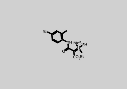 CCOC(=O)[C](C(=O)Nc1ccc(Br)cc1C)=[U]([CH3])([SH])[S]C